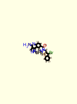 CC(=O)N(C)N(Cc1sc2ccccc2c1Br)C(=O)c1ccc2nc(N)c3cnn(C)c3c2c1